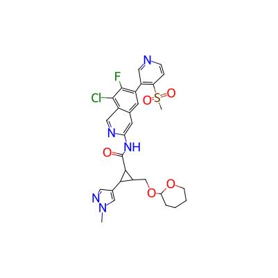 Cn1cc(C2C(COC3CCCCO3)C2C(=O)Nc2cc3cc(-c4cnccc4S(C)(=O)=O)c(F)c(Cl)c3cn2)cn1